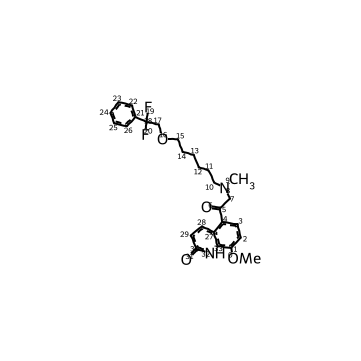 COc1ccc(C(=O)CN(C)CCCCCCOCC(F)(F)c2ccccc2)c2ccc(=O)[nH]c12